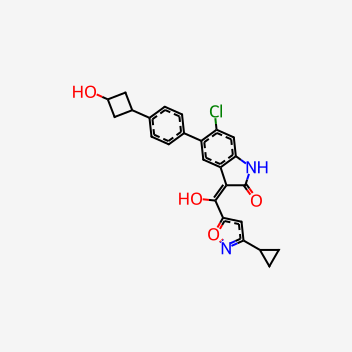 O=C1Nc2cc(Cl)c(-c3ccc(C4CC(O)C4)cc3)cc2C1=C(O)c1cc(C2CC2)no1